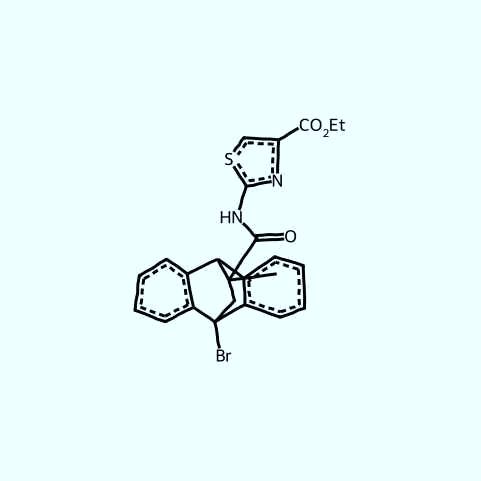 CCOC(=O)c1csc(NC(=O)C2(C)CC3(Br)c4ccccc4C2c2ccccc23)n1